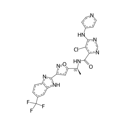 C[C@H](NC(=O)c1ncnc(Nc2ccncc2)c1Cl)c1cc(-c2nc3ccc(C(F)(F)F)cc3[nH]2)no1